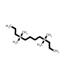 CCC[N+](C)(C)CCCC[N+](C)(C)CCC